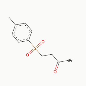 Cc1ccc(S(=O)(=O)CCC(=O)C(C)C)cc1